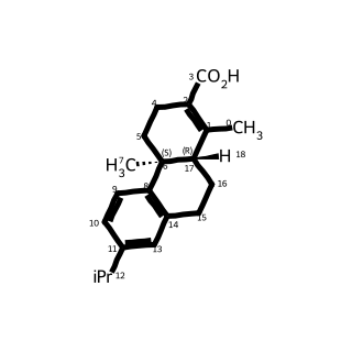 CC1=C(C(=O)O)CC[C@]2(C)c3ccc(C(C)C)cc3CC[C@@H]12